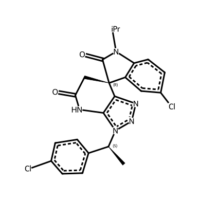 CC(C)N1C(=O)[C@]2(CC(=O)Nc3c2nnn3[C@@H](C)c2ccc(Cl)cc2)c2cc(Cl)ccc21